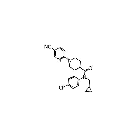 N#Cc1ccc(N2CCC(C(=O)N(CC3CC3)c3ccc(Cl)cc3)CC2)nc1